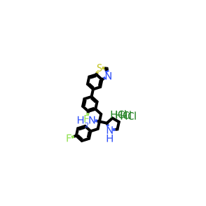 Cl.Cl.Cl.NC(Cc1ccc(F)cc1)(Cc1cc(-c2ccc3scnc3c2)ccc1F)C1CCCN1